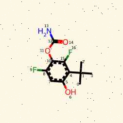 CC(C)(C)c1c(O)cc(F)c(OC(N)=O)c1F